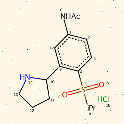 CC(=O)Nc1ccc(S(=O)(=O)C(C)C)c(C2CCCN2)c1.Cl